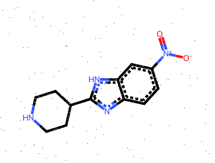 O=[N+]([O-])c1ccc2nc(C3CCNCC3)[nH]c2c1